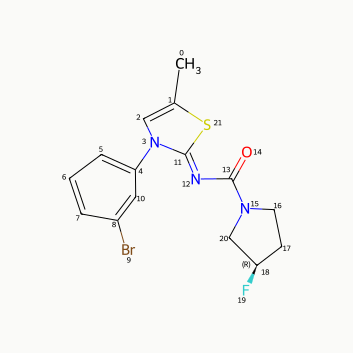 Cc1cn(-c2cccc(Br)c2)c(=NC(=O)N2CC[C@@H](F)C2)s1